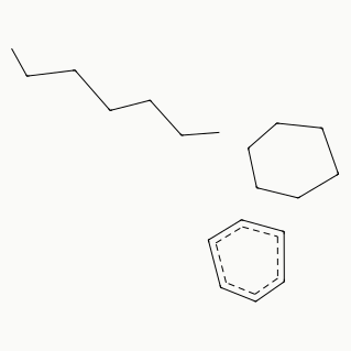 C1CCCCC1.CCCCCCC.c1ccccc1